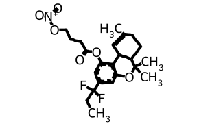 CCC(F)(F)c1cc(OC(=O)CCCO[N+](=O)[O-])c2c(c1)OC(C)(C)C1CCC(C)=CC21